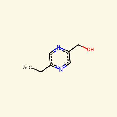 CC(=O)OCc1cnc(CO)cn1